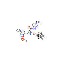 COCc1nc(N2CC3CC3C2)ccc1Cc1cc(C(=O)N[C@@H]2CCc3c2ncn3C)n(COCC[Si](C)(C)C)n1